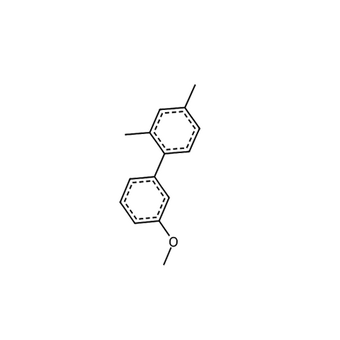 COc1cccc(-c2ccc(C)cc2C)c1